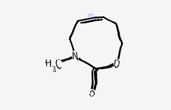 CN1C/C=C\CCOC1=O